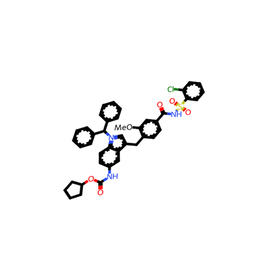 COc1cc(C(=O)NS(=O)(=O)c2ccccc2Cl)ccc1Cc1cn(C(c2ccccc2)c2ccccc2)c2ccc(NC(=O)OC3CCCC3)cc12